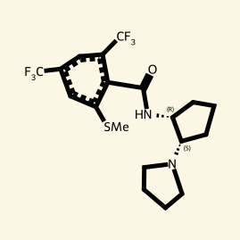 CSc1cc(C(F)(F)F)cc(C(F)(F)F)c1C(=O)N[C@@H]1CCC[C@@H]1N1CCCC1